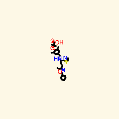 Cc1cc(CNC(CCc2nc(-c3ccccc3)oc2C)c2nccs2)cc(C)c1OC(C)(C)C(=O)O